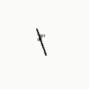 CCCCCCCCCCCCCCCCCC(=O)OCC(O)CCCCCCCC